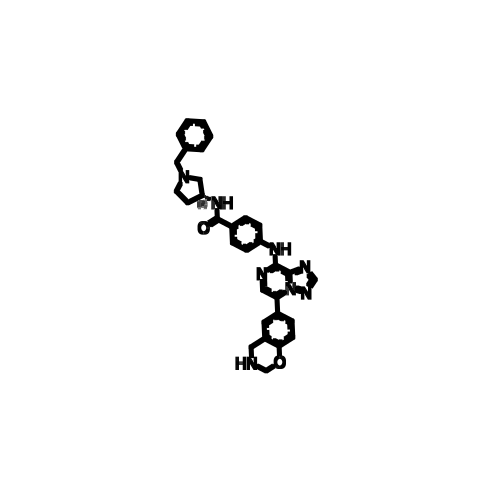 O=C(N[C@@H]1CCN(Cc2ccccc2)C1)c1ccc(Nc2ncc(-c3ccc4c(c3)CNCO4)n3ncnc23)cc1